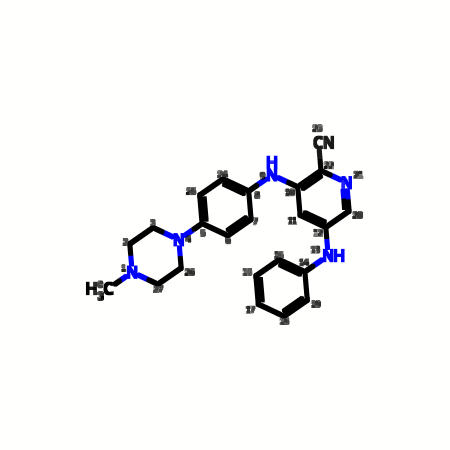 CN1CCN(c2ccc(Nc3cc(Nc4ccccc4)cnc3C#N)cc2)CC1